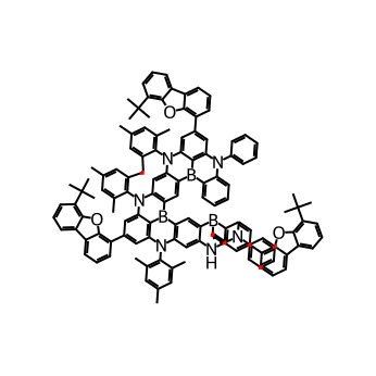 Cc1cc(C)c(N2c3cc4c(cc3B3c5ccccc5N(c5ccccc5)c5cc(-c6cccc7c6oc6c(C(C)(C)C)cccc67)cc2c53)B2c3cc5c(cc3N(c3c(C)cc(C)cc3C)c3cc(-c6cccc7c6oc6c(C(C)(C)C)cccc67)cc(c32)N4c2c(C)cc(C)cc2C)Nc2cc(-c3cccc4c3oc3c(C(C)(C)C)cccc34)cc3c2B5c2ccccc2N3c2ccccc2)c(C)c1